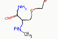 CNC(CSCC=O)C(N)=O